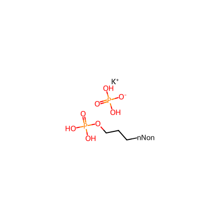 CCCCCCCCCCCCOP(=O)(O)O.O=P([O-])(O)O.[K+]